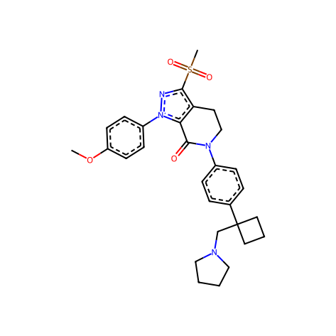 COc1ccc(-n2nc(S(C)(=O)=O)c3c2C(=O)N(c2ccc(C4(CN5CCCC5)CCC4)cc2)CC3)cc1